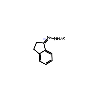 CC(=O)N/N=C1/CCc2ccccc21